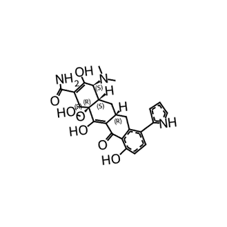 CO[C@]12C(O)=C3C(=O)c4c(O)ccc(-c5ccc[nH]5)c4C[C@H]3C[C@H]1[C@H](N(C)C)C(O)=C(C(N)=O)[C@H]2O